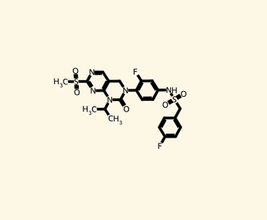 CC(C)N1C(=O)N(c2ccc(NS(=O)(=O)Cc3ccc(F)cc3)cc2F)Cc2cnc(S(C)(=O)=O)nc21